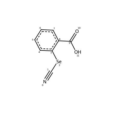 N#C[Se]c1ccccc1C(=O)O